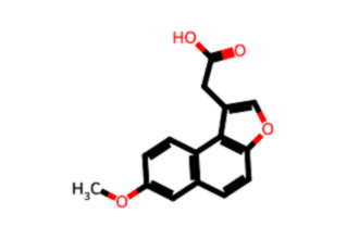 COc1ccc2c(ccc3occ(CC(=O)O)c32)c1